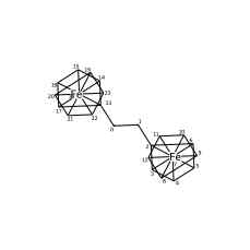 C(C[C]12[CH]3[CH]4[CH]5[CH]1[Fe]45321678[CH]2[CH]1[CH]6[CH]7[CH]28)[C]12[CH]3[CH]4[CH]5[CH]1[Fe]45321678[CH]2[CH]1[CH]6[CH]7[CH]28